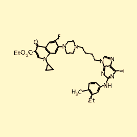 CCOC(=O)c1cn(C2CC2)c2cc(N3CCN(CCCCn4cnc5c(I)nc(Nc6ccc(C)c(CC)c6)nc54)CC3)c(F)cc2c1=O